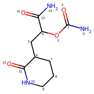 NC(=O)OC(CC1CCCNC1=O)C(N)=O